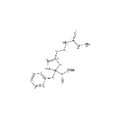 COC(=O)C1(Cc2ccccc2)CC(CCNC(=O)OC(C)(C)C)=NO1